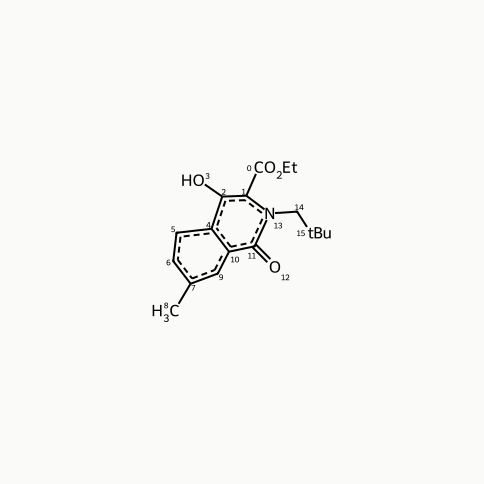 CCOC(=O)c1c(O)c2ccc(C)cc2c(=O)n1CC(C)(C)C